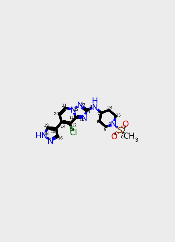 CS(=O)(=O)N1CCC(Nc2nc3c(Cl)c(-c4cn[nH]c4)ccn3n2)CC1